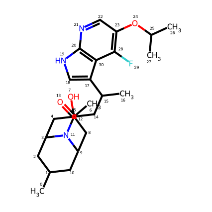 CC1CC2CC(C)(O)CC(C1)N2C(=O)CC(C)c1c[nH]c2ncc(OC(C)C)c(F)c12